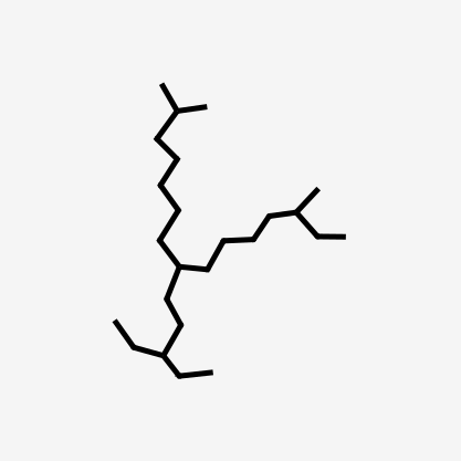 C[CH]C(CC)CCC(CCCCCC(C)C)CCCCC(C)CC